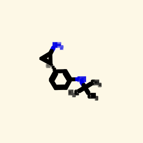 CC(C)(C)Nc1cccc([C@@H]2CC2N)c1